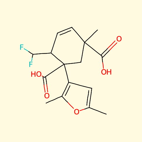 Cc1cc(C2(C(=O)O)CC(C)(C(=O)O)C=CC2C(F)F)c(C)o1